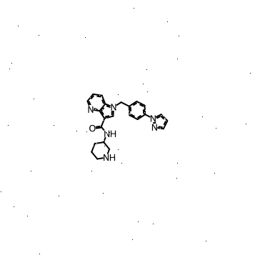 O=C(NC1CCCNC1)c1cn(Cc2ccc(-n3cccn3)cc2)c2cccnc12